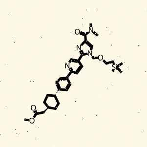 COC(=O)C[C@H]1CC[C@H](c2ccc(-c3ccc(-c4nc(C(=O)N(C)C)cn4COCC[Si](C)(C)C)cn3)cc2)CC1